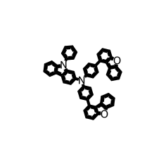 c1ccc(-n2c3ccccc3c3ccc(N(c4ccc(-c5cccc6oc7ccccc7c56)cc4)c4ccc(-c5cccc6oc7ccccc7c56)cc4)cc32)cc1